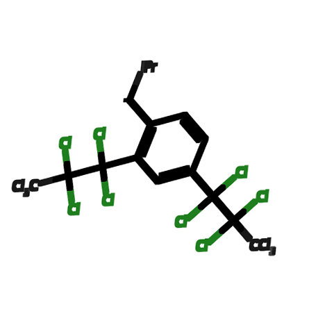 CC(C)[CH]c1ccc(C(Cl)(Cl)C(Cl)(Cl)C(Cl)(Cl)Cl)cc1C(Cl)(Cl)C(Cl)(Cl)C(Cl)(Cl)Cl